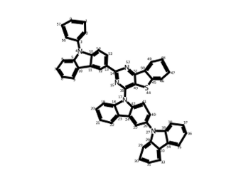 c1ccc(-n2c3ccccc3c3cc(-c4nc(-n5c6ccccc6c6cc(-n7c8ccccc8c8ccccc87)ccc65)c5sc6ccccc6c5n4)ccc32)cc1